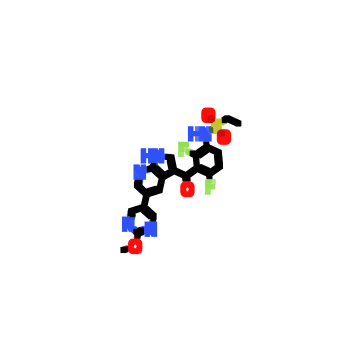 CCS(=O)(=O)Nc1ccc(F)c(C(=O)c2c[nH]c3ncc(-c4cnc(OC)nc4)cc23)c1F